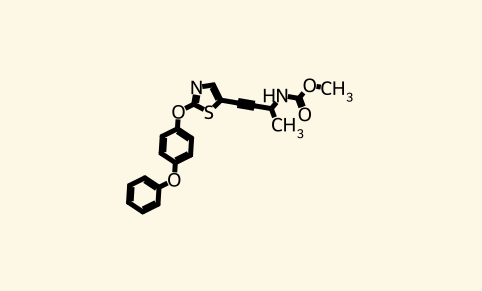 COC(=O)NC(C)C#Cc1cnc(Oc2ccc(Oc3ccccc3)cc2)s1